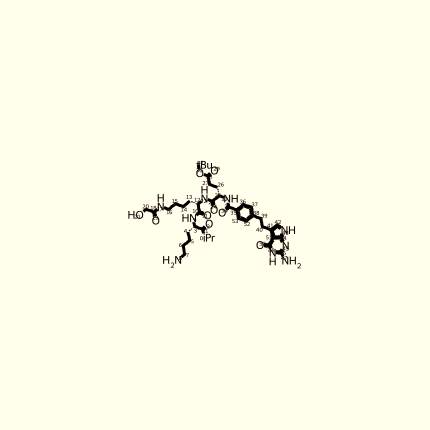 CC(C)C(=O)[C@H](CCCCN)NC(=O)[C@H](CCCCNC(=O)CO)NC(=O)[C@H](CCC(=O)OC(C)(C)C)NC(=O)c1ccc(CCc2c[nH]c3nc(N)[nH]c(=O)c23)cc1